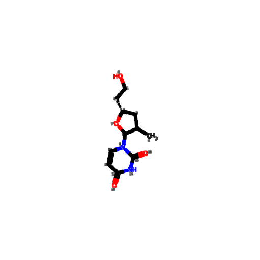 CC1C[C@@H](CCO)OC1n1ccc(=O)[nH]c1=O